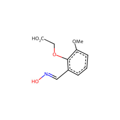 COc1cccc(C=NO)c1OCC(=O)O